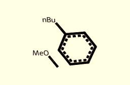 CCCCc1ccccc1.COC